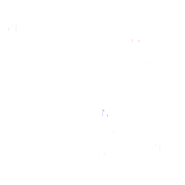 COC(=O)c1cc(Cl)c(=O)n(Cc2ccc(Cl)cc2)c1